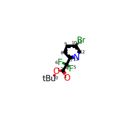 CC(C)(C)OC(=O)C(F)(F)c1ccc(Br)cn1